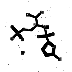 CCC(CC)[C@H](COS(=O)(=O)[O-])NS(=O)(=O)c1ccc(Cl)s1.[H+]